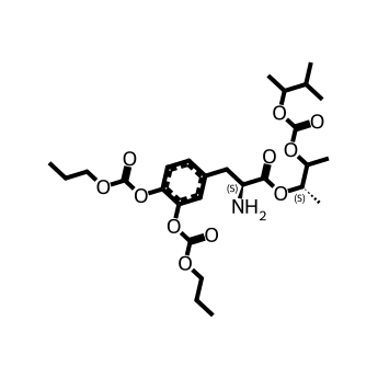 CCCOC(=O)Oc1ccc(C[C@H](N)C(=O)O[C@@H](C)C(C)OC(=O)OC(C)C(C)C)cc1OC(=O)OCCC